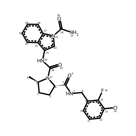 C[C@@H]1CC[C@@H](C(=O)NCc2cccc(Cl)c2F)N1C(=O)Nc1cn(C(N)=O)c2ccccc12